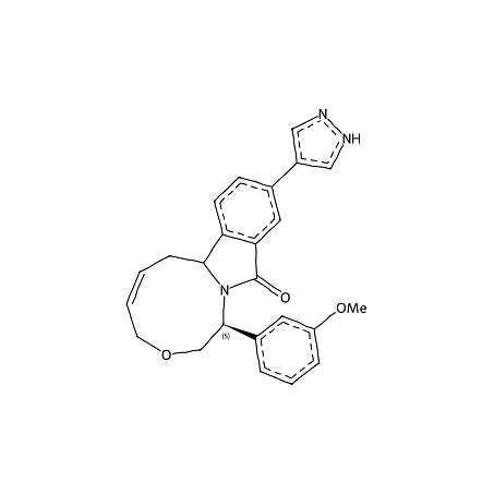 COc1cccc([C@H]2COCC=CCC3c4ccc(-c5cn[nH]c5)cc4C(=O)N32)c1